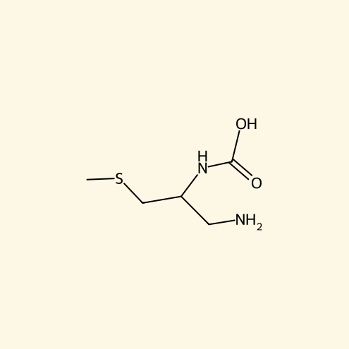 CSCC(CN)NC(=O)O